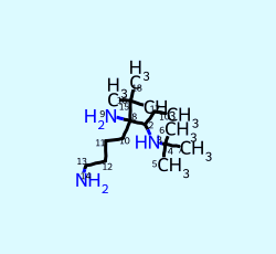 CCC(NC(C)(C)C)C(N)(CCCCN)C(C)(C)C